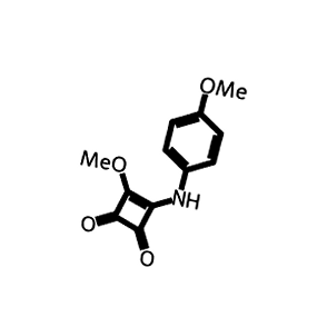 COc1ccc(Nc2c(OC)c(=O)c2=O)cc1